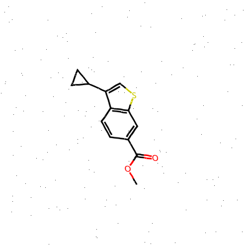 COC(=O)c1ccc2c(C3CC3)csc2c1